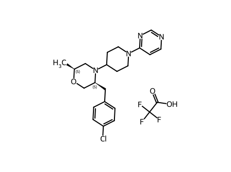 C[C@H]1CN(C2CCN(c3ccncn3)CC2)[C@@H](Cc2ccc(Cl)cc2)CO1.O=C(O)C(F)(F)F